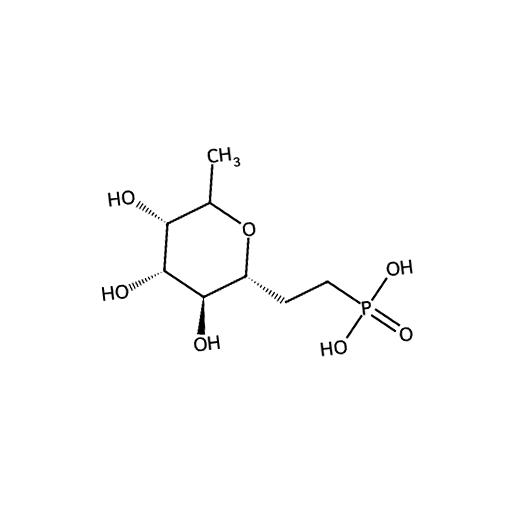 CC1O[C@H](CCP(=O)(O)O)[C@@H](O)[C@H](O)[C@@H]1O